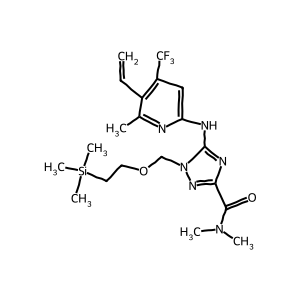 C=Cc1c(C(F)(F)F)cc(Nc2nc(C(=O)N(C)C)nn2COCC[Si](C)(C)C)nc1C